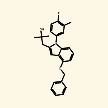 Cc1cc(-n2c(CC(C)(C)O)cc3c(OCc4ccccc4)cccc32)ccc1F